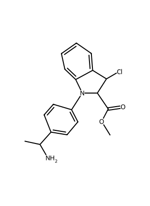 COC(=O)C1C(Cl)c2ccccc2N1c1ccc(C(C)N)cc1